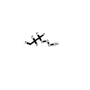 OOOSC(F)(F)C(F)(F)CF